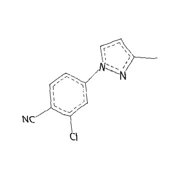 Cc1ccn(-c2ccc(C#N)c(Cl)c2)n1